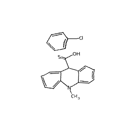 CN1c2ccccc2C(C(O)=S)c2ccccc21.Clc1ccccc1